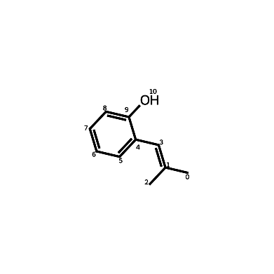 CC(C)=Cc1ccccc1O